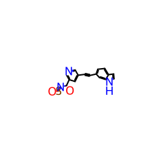 O=S=NC(=O)c1cncc(C#Cc2ccc3cc[nH]c3c2)c1